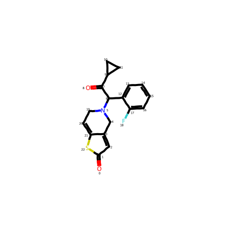 O=C1C=C2CN(C(C(=O)C3CC3)c3ccccc3F)CC=C2S1